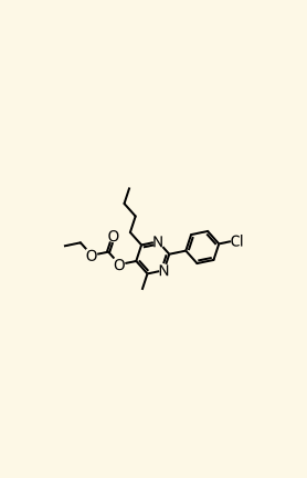 CCCCc1nc(-c2ccc(Cl)cc2)nc(C)c1OC(=O)OCC